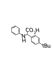 CC(C)(C)c1ccc(C(Nc2ccccc2)C(=O)O)cc1